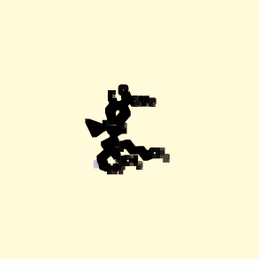 C=CCCCn1c(-c2nc3cc(C(=O)OC)c(F)cc3n2C2CC2)cc(/C=C\CCC)c1N=C